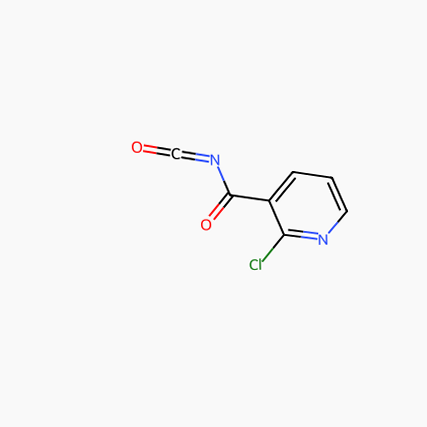 O=C=NC(=O)c1cccnc1Cl